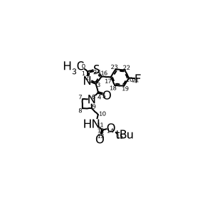 Cc1nc(C(=O)N2CCC2CNC(=O)OC(C)(C)C)c(-c2ccc(F)cc2)s1